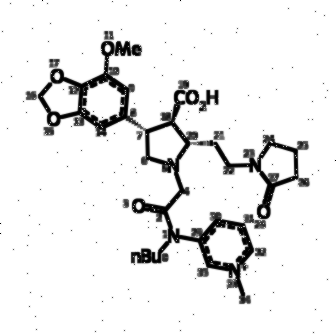 CCCCN(C(=O)CN1C[C@H](c2cc(OC)c3c(c2)OCO3)[C@@H](C(=O)O)[C@@H]1CCN1CCCC1=O)c1ccc[n+](C)c1